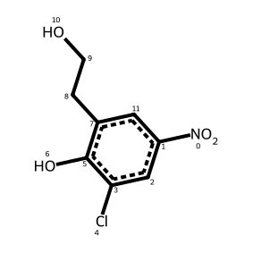 O=[N+]([O-])c1cc(Cl)c(O)c(CCO)c1